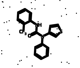 O=C(Nc1ccccc1C(F)(F)F)N(c1ccccc1)c1ccsc1